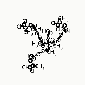 CN1Cc2c(Cl)cc(Cl)cc2[C@H](c2cccc(S(=O)(=O)NCCOCCOCCN(C)C(=O)CCC(CCC(=O)N(C)CCOCCOCCNS(=O)(=O)c3cccc([C@@H]4CN(C)Cc5c(Cl)cc(Cl)cc54)c3)(CCC(=O)N(C)CCOCCOCCNS(=O)(=O)c3cccc([C@@H]4CN(C)Cc5c(Cl)cc(Cl)cc54)c3)NC(=O)COCC(=O)O)c2)C1